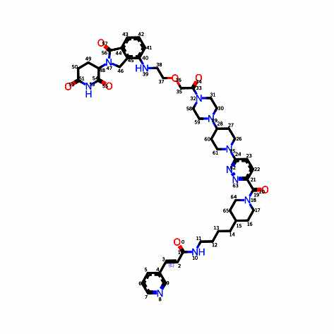 O=C(/C=C/c1cccnc1)NCCCCC1CCN(C(=O)c2ccc(N3CCC(N4CCN(C(=O)COCCNc5cccc6c5CN(C5CCC(=O)NC5=O)C6=O)CC4)CC3)nn2)CC1